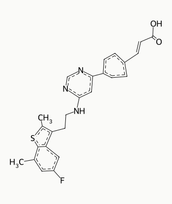 Cc1sc2c(C)cc(F)cc2c1CCNc1cc(-c2ccc(/C=C/C(=O)O)cc2)ncn1